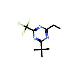 CCc1nc(C(C)(C)C)nc(C(F)(F)F)n1